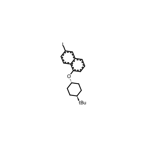 CC(C)(C)[C@H]1CC[C@H](Oc2cccc3cc(I)ccc23)CC1